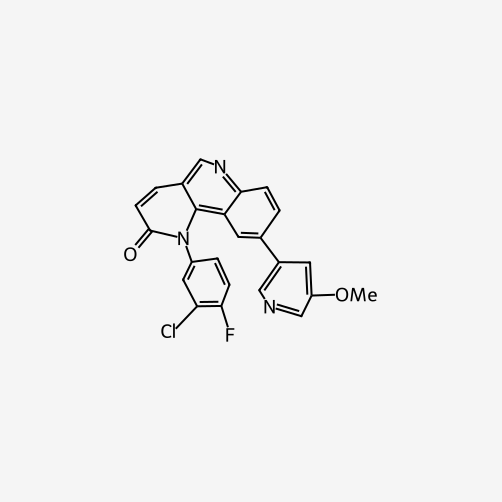 COc1cncc(-c2ccc3ncc4ccc(=O)n(-c5ccc(F)c(Cl)c5)c4c3c2)c1